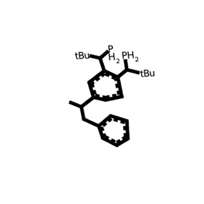 CC(Cc1ccccc1)c1ccc(C(P)C(C)(C)C)c(C(P)C(C)(C)C)c1